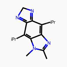 Cc1nc2c(C(C)C)c3c(c(C(C)C)c2n1C)=NCN=3